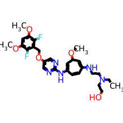 CCN(CCO)CCNC1=CC(OC)C=C(Nc2ncc(OCc3c(F)c(OC)cc(OC)c3F)cn2)C=C1